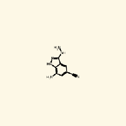 N#Cc1cc(N)c2[nH]nc(NN)c2c1